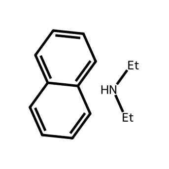 CCNCC.c1ccc2ccccc2c1